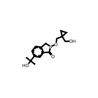 CC(C)(O)c1ccc2c(c1)C(=O)N(OCC1(CO)CC1)C2